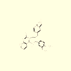 COc1ccc(CNC2C3=C(N=C(N)N2CCCC2=CC4=CNON4C=C2)NCC=C3)cc1OC